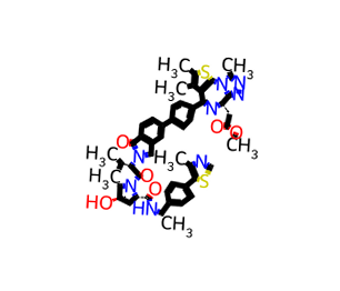 COC(=O)C[C@@H]1N=C(c2ccc(-c3ccc4c(c3)CN([C@H](C(=O)N3C[C@H](O)C[C@H]3C(=O)N[C@@H](C)c3ccc(-c5scnc5C)cc3)C(C)C)C4=O)cc2)c2c(sc(C)c2C)-n2c(C)nnc21